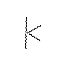 CCCCCCCCCCN(CCCCCCCCCC)N(CCCCCCCCC)CCCCCCCCC